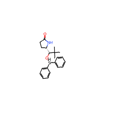 CC(C)(C)C(O[SiH](c1ccccc1)c1ccccc1)[C@@H]1CCC(=O)N1